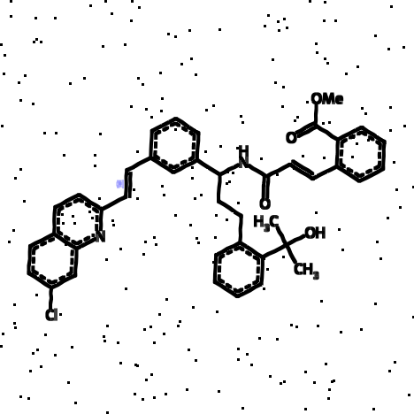 COC(=O)c1ccccc1C=CC(=O)NC(CCc1ccccc1C(C)(C)O)c1cccc(/C=C/c2ccc3ccc(Cl)cc3n2)c1